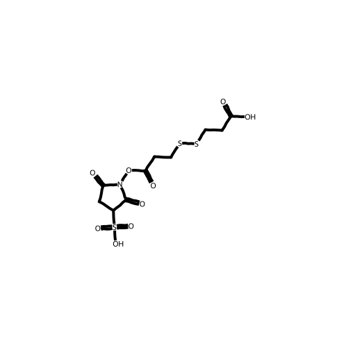 O=C(O)CCSSCCC(=O)ON1C(=O)CC(S(=O)(=O)O)C1=O